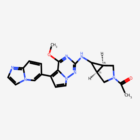 COc1nc(NC2[C@H]3CN(C(C)=O)C[C@@H]23)nn2ccc(-c3ccc4nccn4c3)c12